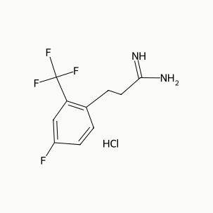 Cl.N=C(N)CCc1ccc(F)cc1C(F)(F)F